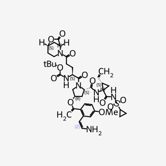 C=C[C@@H]1C[C@]1(NC(=O)[C@@H]1C[C@@H](OC(=C)c2ccc(OC)cc2/C=C\N)CN1C(=O)[C@H](CCC(=O)N1CC[C@H]2C[C@@H]1C(=O)O2)NC(=O)OC(C)(C)C)C(=O)NS(=O)(=O)C1CC1